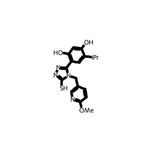 COc1ccc(Cn2c(S)nnc2-c2cc(C(C)C)c(O)cc2O)cn1